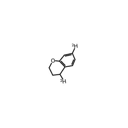 [2H]c1ccc2c(c1)OCCC2[2H]